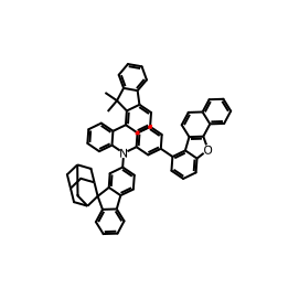 CC1(C)c2ccccc2-c2cccc(-c3ccccc3N(c3cccc(-c4cccc5oc6c7ccccc7ccc6c45)c3)c3ccc4c(c3)C3(c5ccccc5-4)C4CC5CC(C4)CC3C5)c21